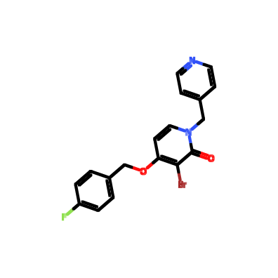 O=c1c(Br)c(OCc2ccc(F)cc2)ccn1Cc1ccncc1